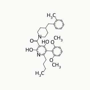 CCCCc1nc(O)c(C(=O)N2CCC(Cc3ccccc3C)CC2)c(O)c1-c1c(OC)cccc1OC